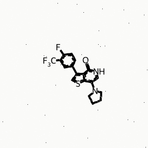 O=c1[nH]cc(N2CCCC2)c2scc(-c3ccc(F)c(C(F)(F)F)c3)c12